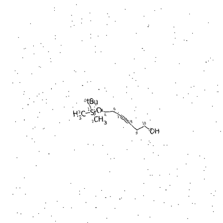 CC(C)(C)[Si](C)(C)OCCC#CCCO